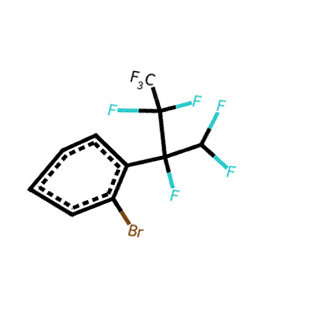 FC(F)C(F)(c1ccccc1Br)C(F)(F)C(F)(F)F